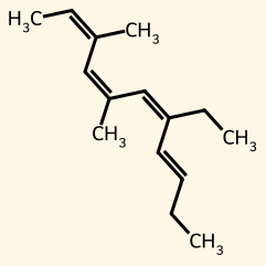 CC=C(C)C=C(C)C=C(C=CCC)CC